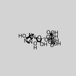 O=P(O)(O)OP(=O)(OC[C@H]1O[C@@H](n2cnc3c(O)ncnc32)[C@H](O)[C@@H]1O)OP(=O)(O)O